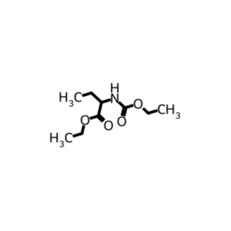 CCOC(=O)NC(CC)C(=O)OCC